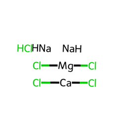 Cl.[Cl][Ca][Cl].[Cl][Mg][Cl].[NaH].[NaH]